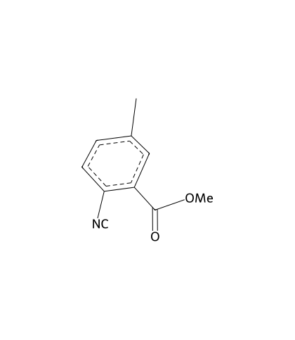 [C-]#[N+]c1ccc(C)cc1C(=O)OC